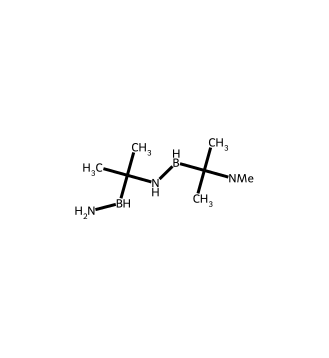 CNC(C)(C)BNC(C)(C)BN